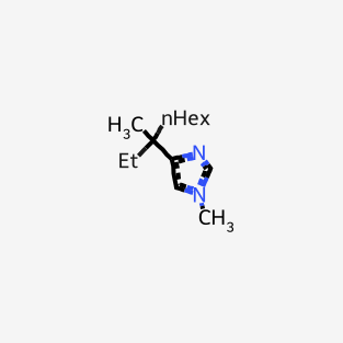 CCCCCCC(C)(CC)c1cn(C)cn1